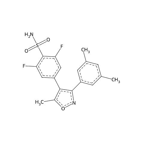 Cc1cc(C)cc(-c2noc(C)c2-c2cc(F)c(S(N)(=O)=O)c(F)c2)c1